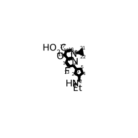 CCNCC1CCC(c2nc3c(cc2F)c(=O)c(C(=O)O)cn3C2CC2)C1